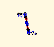 CO/N=C(\N)c1ccc(OCCCN2CCN(CCCOc3ccc(/C(N)=N/OC)cc3)CC2)cc1